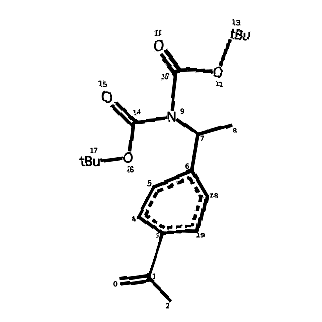 C=C(C)c1ccc(C(C)N(C(=O)OC(C)(C)C)C(=O)OC(C)(C)C)cc1